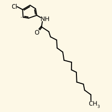 CCCCCCCCCCCCCCC(=O)Nc1c[c]c(Cl)cc1